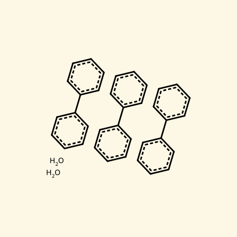 O.O.c1ccc(-c2ccccc2)cc1.c1ccc(-c2ccccc2)cc1.c1ccc(-c2ccccc2)cc1